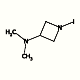 CN(C)C1CN(I)C1